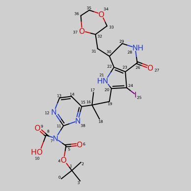 CC(C)(C)OC(=O)N(C(=O)O)c1nccc(C(C)(C)Cc2[nH]c3c(c2I)C(=O)NCC3CC2COCCO2)n1